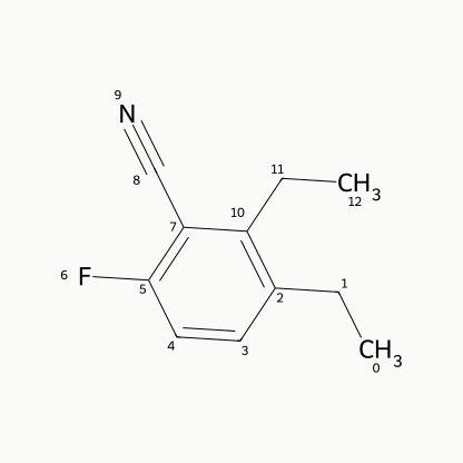 CCc1ccc(F)c(C#N)c1CC